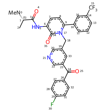 CN[C@@H](C)C(=O)Nc1ccc(-c2cccc(C(F)(F)F)c2)n(Cc2cncc(C(=O)c3ccc(F)cc3)c2)c1=O